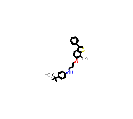 CCCc1c(OCCCNc2ccc(C(C)(C)C(=O)O)cc2)ccc2c(-c3ccccc3)csc12